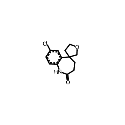 O=C1CCC2(CCOC2)c2cc(Cl)ccc2N1